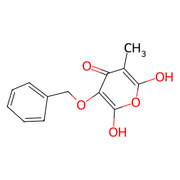 Cc1c(O)oc(O)c(OCc2ccccc2)c1=O